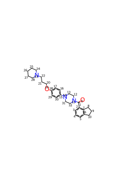 O=C(c1cccc2c1CCC2)N1CCN(c2ccc(OCCCN3CCCCC3)cc2)CC1